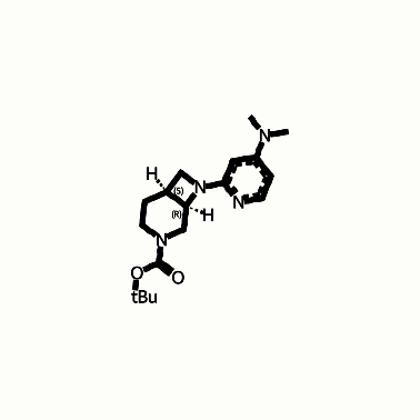 CN(C)c1ccnc(N2C[C@@H]3CCN(C(=O)OC(C)(C)C)C[C@@H]32)c1